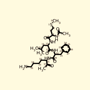 CSCCC(NC(C)=O)C(=O)NC(CC(C)C)C(=O)NC(Cc1ccccc1)C(=O)NC(CCCCN)C(C)=O